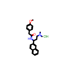 COc1ccc(CC(=O)NC(CCN(C)C)c2ccc3ccccc3c2)cc1.Cl